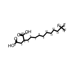 O=C(O)CC(CCCCCCCCCC(F)(F)F)C(=O)O